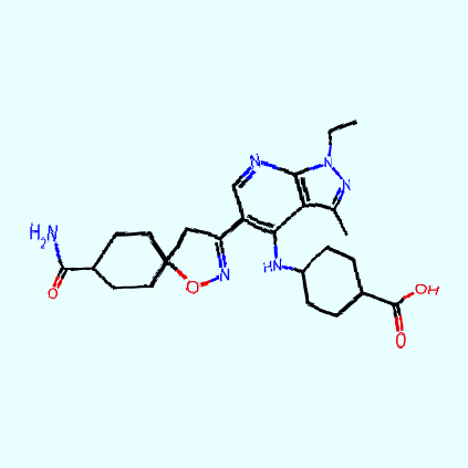 CCn1nc(C)c2c(NC3CCC(C(=O)O)CC3)c(C3=NOC4(CCC(C(N)=O)CC4)C3)cnc21